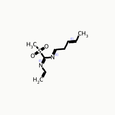 C=C/N=C(\N=C\C/C=C/C)S(C)(=O)=O